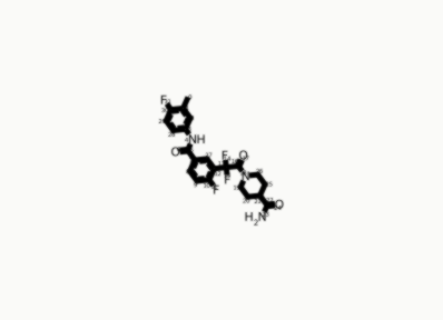 Cc1cc(NC(=O)c2ccc(F)c(C(F)(F)C(=O)N3CCC(C(N)=O)CC3)c2)ccc1F